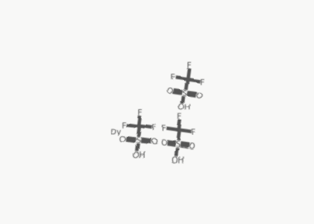 O=S(=O)(O)C(F)(F)F.O=S(=O)(O)C(F)(F)F.O=S(=O)(O)C(F)(F)F.[Dy]